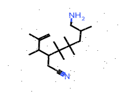 C=C(C)C(C)C(CC#N)C(C)(C)C(C)(C)CC(C)CN